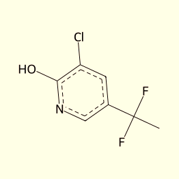 CC(F)(F)c1cnc(O)c(Cl)c1